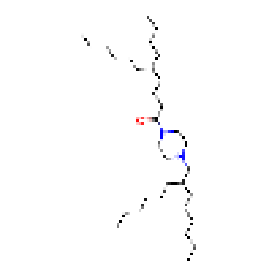 CCCCCCC(CCCC)CCCC(=O)N1CCN(CC(CCCCCC)CCCCCC)CC1